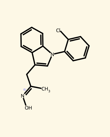 C/C(Cc1cn(-c2ccccc2Cl)c2ccccc12)=N\O